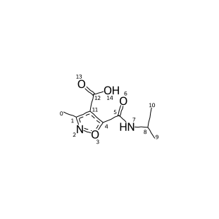 Cc1noc(C(=O)NC(C)C)c1C(=O)O